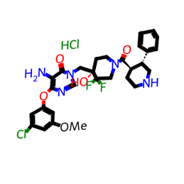 COc1cc(Cl)cc(Oc2ncn(C[C@@]3(O)CCN(C(=O)[C@@H]4CCNC[C@H]4c4ccccc4)CC3(F)F)c(=O)c2N)c1.Cl